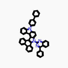 c1ccc(-c2ccc(-n3c4ccccc4c4c5c6c7ccccc7c7ccccc7c6n(-c6nc(-c7ccccc7)c7ccccc7n6)c5ccc43)cc2)cc1